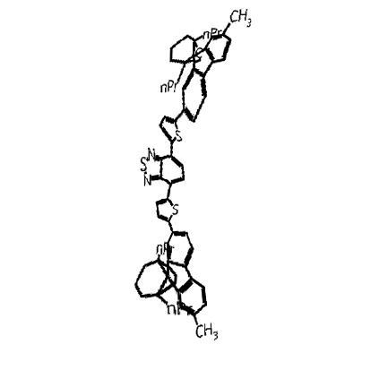 CCCC12CCCC(CCC)(CCC1)C21c2cc(C)ccc2-c2ccc(-c3ccc(-c4ccc(-c5ccc(-c6ccc7c(c6)C6(c8cc(C)ccc8-7)C7(CCC)CCCC6(CCC)CCC7)s5)c5nsnc45)s3)cc21